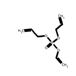 C=CCOP(=O)(OC=C)OCC=C